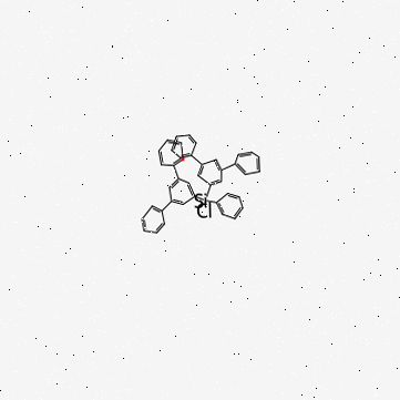 Cl[Si](c1ccccc1)(c1cc(-c2ccccc2)cc(-c2ccccc2)c1)c1cc(-c2ccccc2)cc(-c2ccccc2)c1